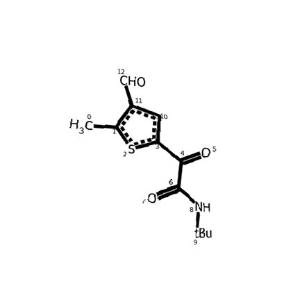 Cc1sc(C(=O)C(=O)NC(C)(C)C)cc1C=O